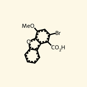 COc1cc(Br)c(C(=O)O)c2c1oc1ccccc12